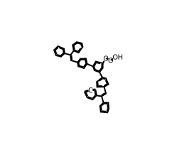 OOOc1cc(-c2ccc(C=C(c3ccccc3)c3ccccc3)cc2)cc(-c2ccc(C=C(c3ccccc3)c3ccccc3)cc2)c1